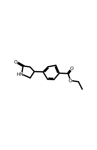 CCOC(=O)c1ccc(C2CNC(=O)C2)cc1